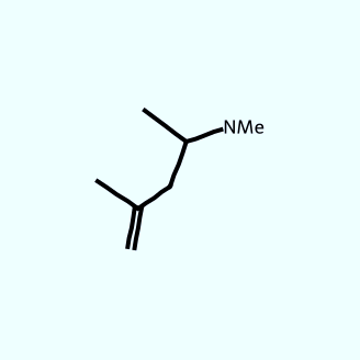 C=C(C)CC(C)NC